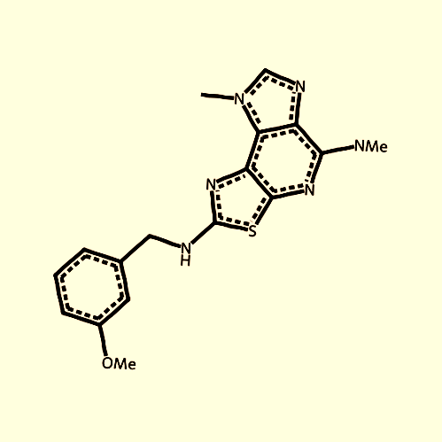 CNc1nc2sc(NCc3cccc(OC)c3)nc2c2c1ncn2C